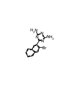 Nc1nc(N)nc(-c2cc3ccccc3cc2Br)n1